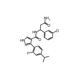 CC(C)c1ccc(-c2n[nH]cc2C(=O)NC(CC(N)=O)c2cccc(Cl)c2)c(F)c1